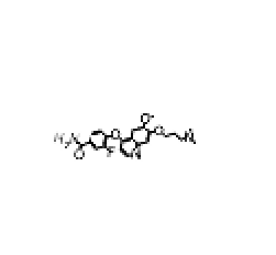 COc1cc2c(Oc3ccc(C(N)=O)cc3F)ccnc2cc1OCCCN(C)C